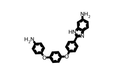 Nc1ccc(Oc2ccc(Oc3ccc(-c4nc5ccc(N)cc5[nH]4)cc3)cc2)cc1